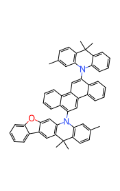 Cc1ccc2c(c1)N(c1cc3c4ccccc4c(N4c5cc(C)ccc5C(C)(C)c5cc6c(cc54)oc4ccccc46)cc3c3ccccc13)c1ccccc1C2(C)C